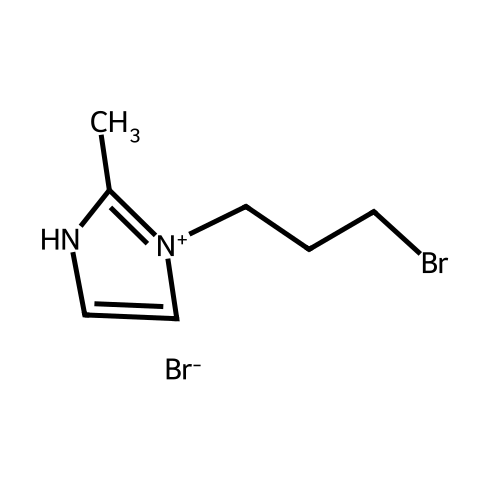 Cc1[nH]cc[n+]1CCCBr.[Br-]